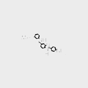 COc1cccc(NC(=O)c2ccc3[nH]c(-c4ccc(N)cc4)nc3c2)c1